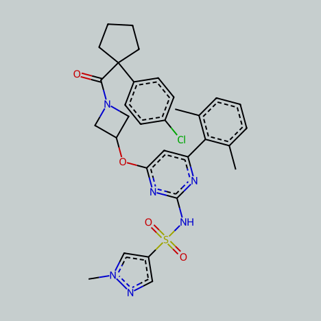 Cc1cccc(C)c1-c1cc(OC2CN(C(=O)C3(c4ccc(Cl)cc4)CCCC3)C2)nc(NS(=O)(=O)c2cnn(C)c2)n1